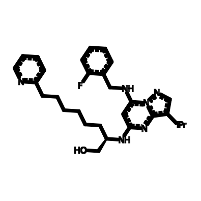 CC(C)c1cnn2c(NCc3ccccc3F)cc(N[C@@H](CO)CCCCCCc3ccccn3)nc12